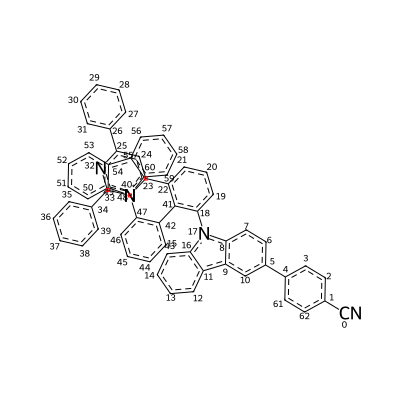 N#Cc1ccc(-c2ccc3c(c2)c2ccccc2n3-c2cccc(-c3cc(-c4ccccc4)nc(-c4ccccc4)n3)c2-c2ccccc2-n2c3ccccc3c3ccccc32)cc1